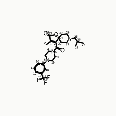 CC1=C(C(=O)N2CCN(c3cccc(C(F)(F)F)c3)CC2)C2(CCN(CC(C)C)CC2)OC1=O